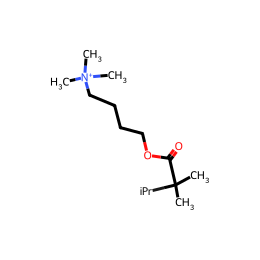 CC(C)C(C)(C)C(=O)OCCCC[N+](C)(C)C